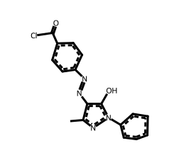 Cc1nn(-c2ccccc2)c(O)c1N=Nc1ccc(C(=O)Cl)cc1